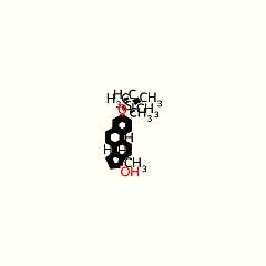 CC(C)(C)[Si](C)(C)Oc1ccc2c(c1)CC[C@@H]1[C@@H]2CC[C@]2(C)C(O)C=C[C@@H]12